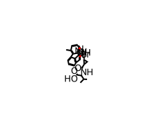 Cc1ccc2[nH]c3c(Br)c2c1-c1cccc-3c1-c1nnnn1C1CC1C(=O)N[C@H](C(=O)O)C(C)C